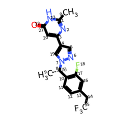 Cc1nc(-c2cnn([C@@H](C)c3ccc(CC(F)(F)F)cc3F)c2)cc(=O)[nH]1